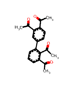 CC(=O)c1ccc(-c2cccc(C(C)=O)c2C(C)=O)cc1C(C)=O